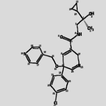 C[C@](O)(CNC(=O)C1=CC(OCc2ccncc2)(c2ccc(Cl)cc2)C=NC1)C1CC1